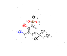 CCC(C)(C)c1cc(CN)c(O)c(S(C)(=O)=O)c1